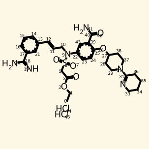 CCOC(=O)CS(=O)(=O)N(C/C=C/c1cccc(C(=N)N)c1)c1ccc(OC2CCN(C3=NCCCC3)CC2)c(C(N)=O)c1.Cl.Cl